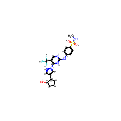 CNS(=O)(=O)c1ccc(Nc2ncc(C(F)(F)F)c(-n3cc([C@H]4CCC[C@H]4O)cn3)n2)cc1